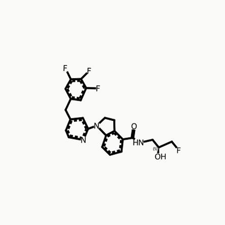 O=C(NC[C@H](O)CF)c1cccc2c1CCN2c1cc(Cc2cc(F)c(F)c(F)c2)ccn1